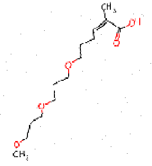 COCCCOCCCOCCCC=C(C)C(=O)O